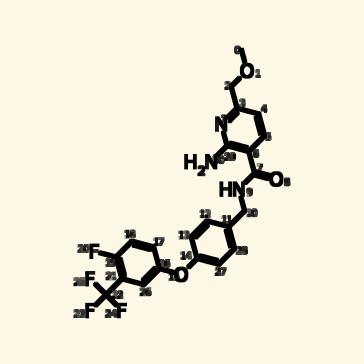 COCc1ccc(C(=O)NCc2ccc(Oc3ccc(F)c(C(F)(F)F)c3)cc2)c(N)n1